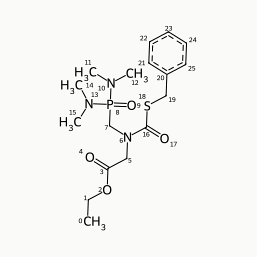 CCOC(=O)CN(CP(=O)(N(C)C)N(C)C)C(=O)SCc1ccccc1